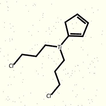 ClCC[CH2][Ti]([CH2]CCCl)[C]1=CC=CC1